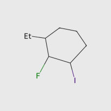 CCC1CCCC(I)C1F